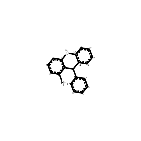 Nc1cccc2c1C(c1ccccc1)c1ccccc1O2